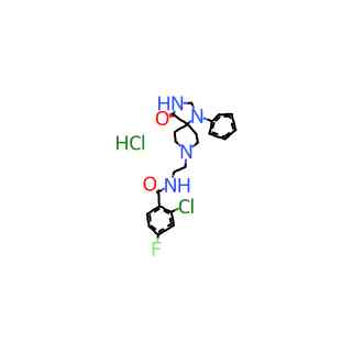 Cl.O=C(NCCN1CCC2(CC1)C(=O)NCN2c1ccccc1)c1ccc(F)cc1Cl